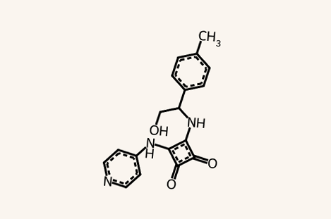 Cc1ccc(C(CO)Nc2c(Nc3ccncc3)c(=O)c2=O)cc1